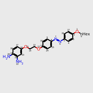 CCCCCCOc1ccc(N=Nc2ccc(OCCOc3ccc(N)c(N)c3)cc2)cc1